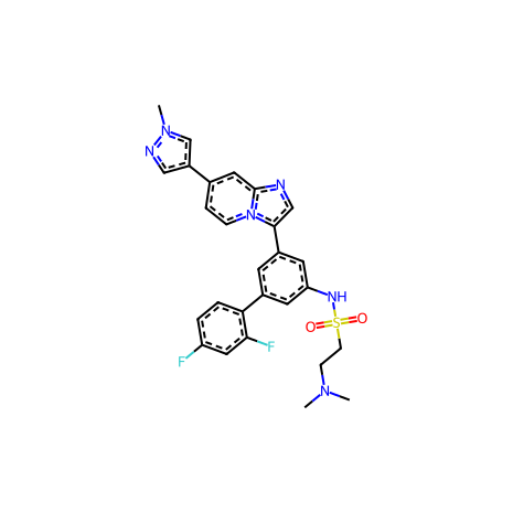 CN(C)CCS(=O)(=O)Nc1cc(-c2ccc(F)cc2F)cc(-c2cnc3cc(-c4cnn(C)c4)ccn23)c1